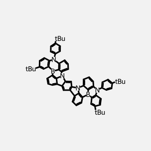 CC(C)(C)c1ccc(N2c3ccc(C(C)(C)C)cc3B3c4c2cccc4-n2c4cc5c(cc4c4cccc3c42)c2cccc3c2n5-c2cccc4c2B3c2cc(C(C)(C)C)ccc2N4c2ccc(C(C)(C)C)cc2)cc1